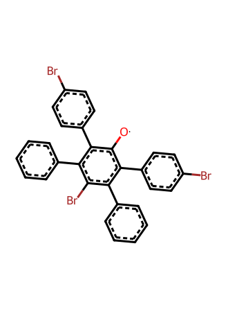 [O]c1c(-c2ccc(Br)cc2)c(-c2ccccc2)c(Br)c(-c2ccccc2)c1-c1ccc(Br)cc1